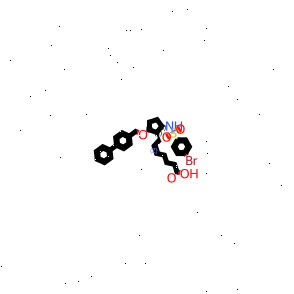 O=C(O)CCC/C=C\C[C@@H]1[C@@H](NS(=O)(=O)c2ccc(Br)cc2)CC[C@@H]1OCc1ccc(-c2ccccc2)cc1